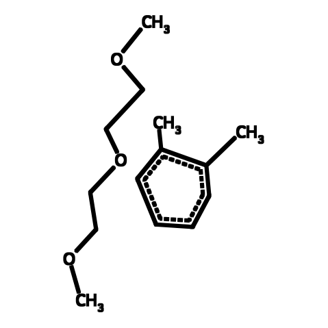 COCCOCCOC.Cc1ccccc1C